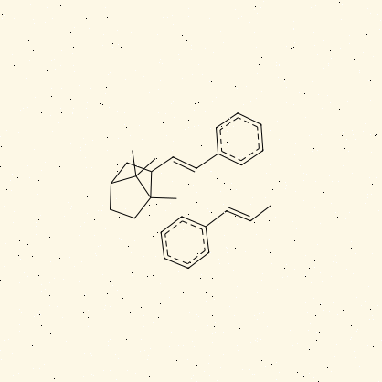 CC1(C)C2CCC1(C)C(C=Cc1ccccc1)C2.CC=Cc1ccccc1